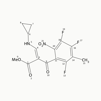 COC(=O)C(=CNC1CC1)C(=O)c1c(F)c(C)c(F)c(F)c1[N+](=O)[O-]